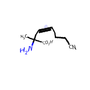 CC(N)(/C=C\CCC#N)C(=O)O